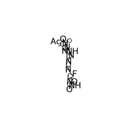 CC(=O)c1c(C)c2cnc(Nc3ccc(N4CCC(N(C)Cc5ccc(N6CCC(=O)NC6=O)cc5F)CC4)cn3)nc2n(C2CCCC2)c1=O